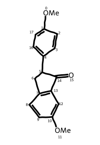 COc1ccc(C2Cc3ccc(OC)cc3C2=O)cc1